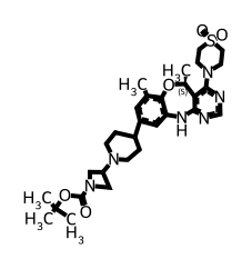 Cc1cc(C2CCN(C3CN(C(=O)OC(C)(C)C)C3)CC2)cc2c1O[C@@H](C)c1c(ncnc1N1CCS(=O)(=O)CC1)N2